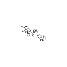 CN(CCc1ccc(C2=NCCN2)cc1)C(=O)C[C@@H]1CCCN1S(=O)(=O)c1cccc(Cl)c1Cl